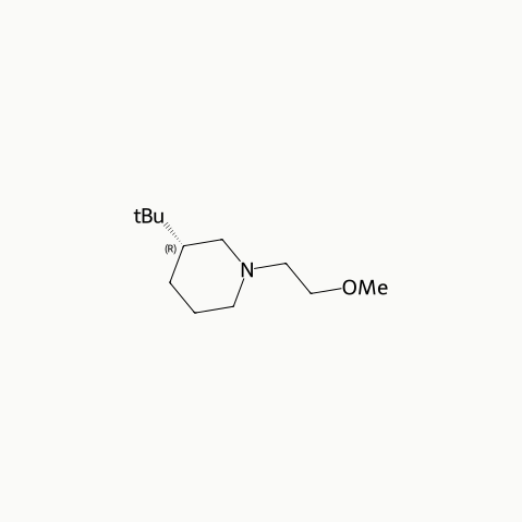 COCCN1CCC[C@H](C(C)(C)C)C1